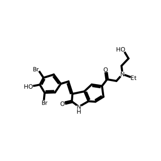 CCN(CCO)CC(=O)c1ccc2c(c1)C(=Cc1cc(Br)c(O)c(Br)c1)C(=O)N2